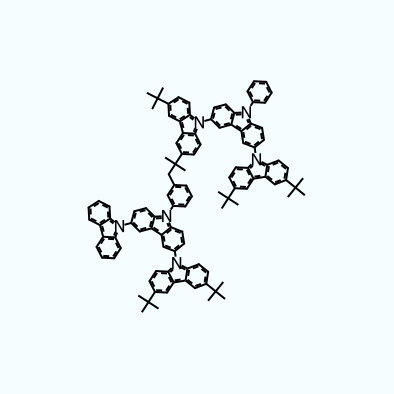 CC(C)(C)c1ccc2c(c1)c1cc(C(C)(C)C)ccc1n2-c1ccc2c(c1)c1cc(-n3c4ccc(C(C)(C)C)cc4c4cc(C(C)(C)Cc5cccc(-n6c7ccc(-n8c9ccccc9c9ccccc98)cc7c7cc(-n8c9ccc(C(C)(C)C)cc9c9cc(C(C)(C)C)ccc98)ccc76)c5)ccc43)ccc1n2-c1ccccc1